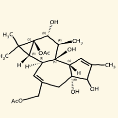 CC(=O)OCC1=C[C@H]2[C@@H]3C(C)(C)[C@]3(OC(C)=O)[C@H](O)[C@@H](C)[C@]2(O)[C@@H]2C=C(C)C(O)[C@@]2(O)C1